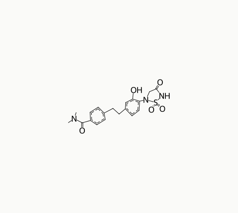 CN(C)C(=O)c1ccc(CCc2ccc(N3CC(=O)NS3(=O)=O)c(O)c2)cc1